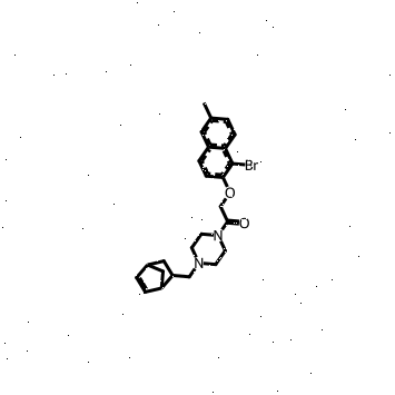 Cc1ccc2c(Br)c(OCC(=O)N3CCN(CC4CC5C=CC4C5)CC3)ccc2c1